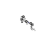 COCOc1noc2ccc(/C=C/c3ccc(OCc4c(-c5c(Cl)cccc5I)noc4C4CC4)cc3Cl)cc12